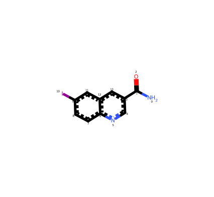 NC(=O)c1cnc2ccc(I)cc2c1